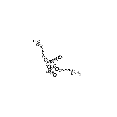 C=CC(=O)OCCCCCCOc1ccc(C(=O)Oc2cc(/C=N/Nc3nc4ccccc4s3)c(OC(=O)c3ccc(OCCCCCCOC(=O)C=C)cc3)cc2/C=N/Nc2nc3ccccc3s2)cc1